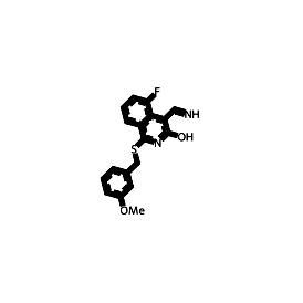 COc1cccc(CSc2nc(O)c(C=N)c3c(F)cccc23)c1